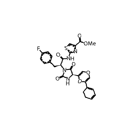 COC(=O)c1csc(NC(=O)[C@H](Cc2ccc(F)cc2)N2C(=O)N[C@H](C3=COC=C(C4=CC=CCC4)O3)C2=O)n1